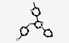 Cc1ccc(-c2nn(-c3ccccc3)cc2Sc2ccc(Cl)cc2)cn1